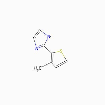 Cc1ccsc1C1=NC=C[N]1